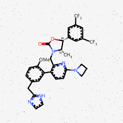 COc1ccc(Cc2ncc[nH]2)cc1-c1ccc(N2CCC2)nc1CN1C(=O)O[C@H](c2cc(C(F)(F)F)cc(C(F)(F)F)c2)[C@@H]1C